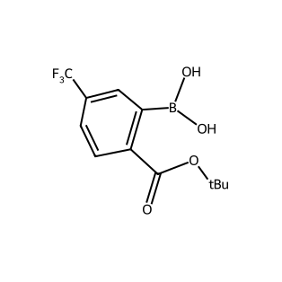 CC(C)(C)OC(=O)c1ccc(C(F)(F)F)cc1B(O)O